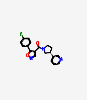 O=C(c1cnoc1-c1ccc(F)cc1)N1CC[C@H](c2cccnc2)C1